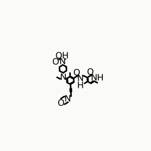 CCN(c1cc(C#CCN2CCOCC2)cc(C(=O)NCc2c(C)cc(C)[nH]c2=O)c1C)[C@H]1CC[C@H](N(C)C(=O)O)CC1